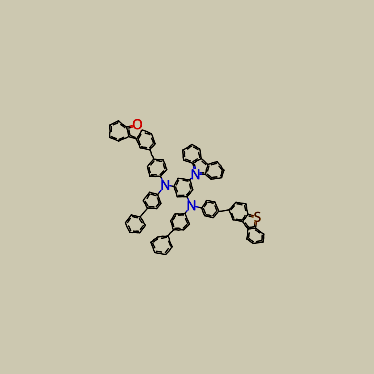 c1ccc(-c2ccc(N(c3ccc(-c4ccc5oc6ccccc6c5c4)cc3)c3cc(N(c4ccc(-c5ccccc5)cc4)c4ccc(-c5ccc6sc7ccccc7c6c5)cc4)cc(-n4c5ccccc5c5ccccc54)c3)cc2)cc1